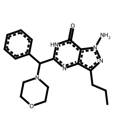 CCCc1nn(N)c2c(=O)[nH]c(C(c3ccccc3)N3CCOCC3)nc12